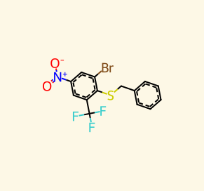 O=[N+]([O-])c1cc(Br)c(SCc2ccccc2)c(C(F)(F)F)c1